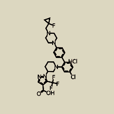 Cl.O=C(O)c1cnn(C2CCCN(c3cc(Cl)ccc3-c3ccc(N4CCN(CC5(F)CC5)CC4)cc3)C2)c1C(F)(F)F